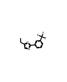 CCc1cnc(-c2cccc(C(F)(F)F)c2)s1